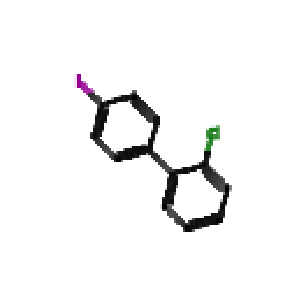 Clc1ccccc1-c1c[c]c(I)cc1